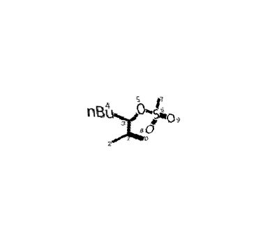 C=C(C)C(CCCC)OS(C)(=O)=O